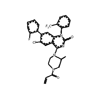 C=CC(=O)N1CCN(c2nc(=O)n(-c3ccccc3C(F)(F)F)c3cc(-c4ccccc4F)c(Cl)cc23)C(C)C1